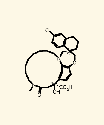 CN1CCCCCCCCN2C[C@@]3(CCCc4cc(Cl)ccc43)COc3ccc(cc32)[C@](O)(C(=O)O)CC1=O